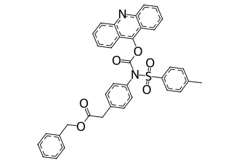 Cc1ccc(S(=O)(=O)N(C(=O)Oc2c3ccccc3nc3ccccc23)c2ccc(CC(=O)OCc3ccccc3)cc2)cc1